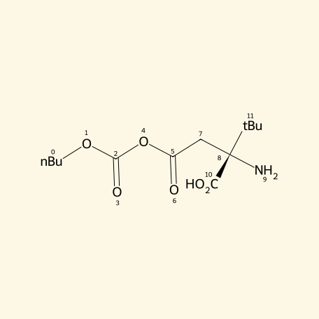 CCCCOC(=O)OC(=O)C[C@](N)(C(=O)O)C(C)(C)C